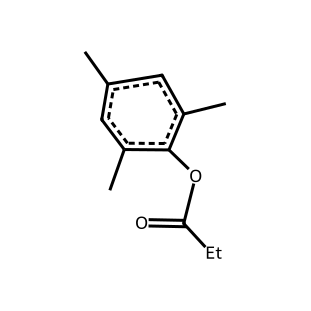 CCC(=O)Oc1c(C)cc(C)cc1C